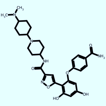 CN(C)C1CCC(N2CCC(NC(=O)c3cc(-c4c(O)cc(O)cc4Oc4ccc(C(N)=O)cc4)on3)CC2)CC1